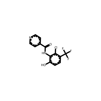 O=C(Nc1c(O)ccc(C(F)(F)F)c1Cl)c1ccncc1